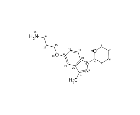 Cc1nn(C2CCCCO2)c2ccc(OCCCN)cc12